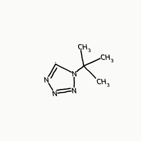 CC(C)(C)n1[c]nnn1